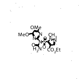 CCOC(=O)c1cnn(C)c1S(=O)(=O)N(C(N)=O)c1nc(OC)cc(OC)n1